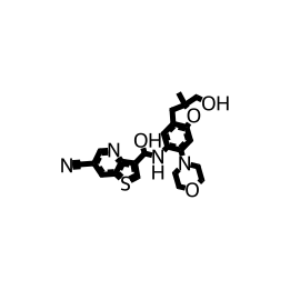 CC1(CO)Cc2cc(NC(O)c3csc4cc(C#N)cnc34)c(N3CCOCC3)cc2O1